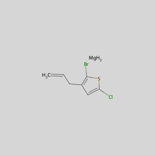 C=CCc1cc(Cl)sc1Br.[MgH2]